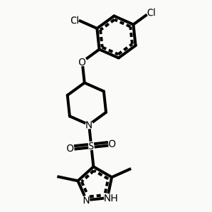 Cc1n[nH]c(C)c1S(=O)(=O)N1CCC(Oc2ccc(Cl)cc2Cl)CC1